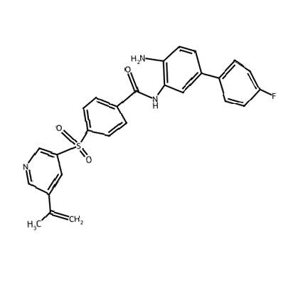 C=C(C)c1cncc(S(=O)(=O)c2ccc(C(=O)Nc3cc(-c4ccc(F)cc4)ccc3N)cc2)c1